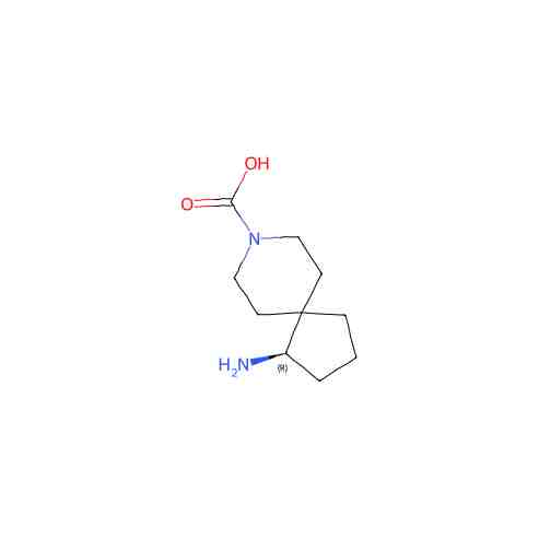 N[C@@H]1CCCC12CCN(C(=O)O)CC2